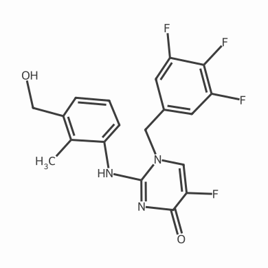 Cc1c(CO)cccc1Nc1nc(=O)c(F)cn1Cc1cc(F)c(F)c(F)c1